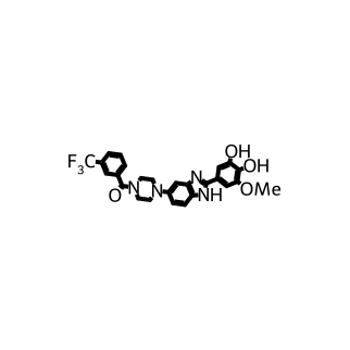 COc1cc(-c2nc3cc(N4CCN(C(=O)c5cccc(C(F)(F)F)c5)CC4)ccc3[nH]2)cc(O)c1O